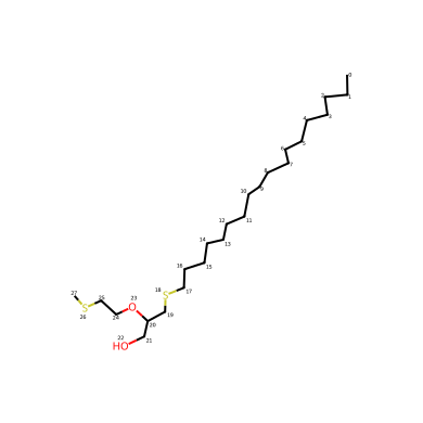 CCCCCCCCCCCCCCCCCCSCC(CO)OCCSC